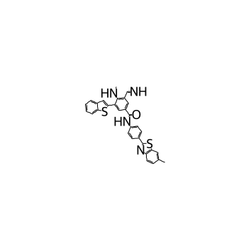 CNc1c(C=N)cc(C(=O)Nc2ccc(-c3nc4ccc(C)cc4s3)cc2)cc1-c1cc2ccccc2s1